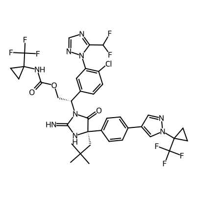 CC(C)(C)C[C@]1(c2ccc(-c3cnn(C4(C(F)(F)F)CC4)c3)cc2)NC(=N)N([C@H](COC(=O)NC2(C(F)(F)F)CC2)c2ccc(Cl)c(-n3ncnc3C(F)F)c2)C1=O